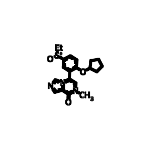 CC[S+]([O-])c1ccc(OC2CCCC2)c(-c2cn(C)c(=O)c3cncn23)c1